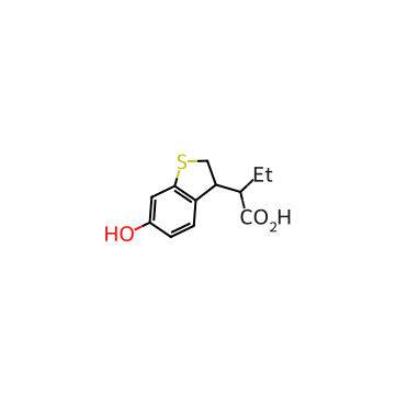 CCC(C(=O)O)C1CSc2cc(O)ccc21